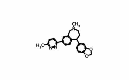 Cc1ccc(-c2ccc3c(c2)CN(C)CCC3c2ccc3c(c2)OCO3)nn1